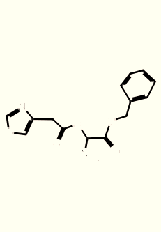 NC(OC(=O)Cc1cocn1)C(=O)OCc1ccccc1